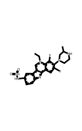 CCn1cc2c3cc(N[SH](=O)=O)ccc3nc-2c2cc(F)c(N3CCNC(C)C3)c(F)c21